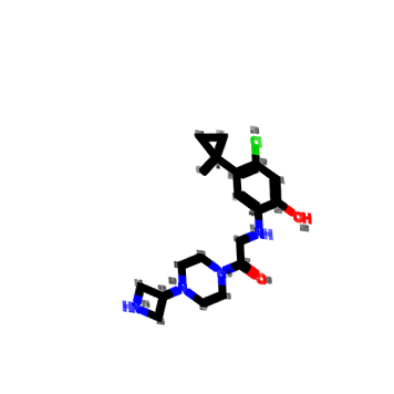 CC1(c2cc(NCC(=O)N3CCN(C4CNC4)CC3)c(O)cc2Cl)CC1